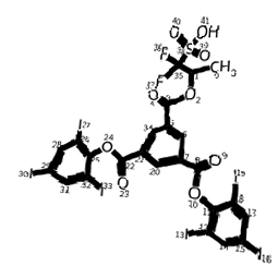 CC(OC(=O)c1cc(C(=O)Oc2c(I)cc(I)cc2I)cc(C(=O)Oc2c(I)cc(I)cc2I)c1)C(F)(F)S(=O)(=O)O